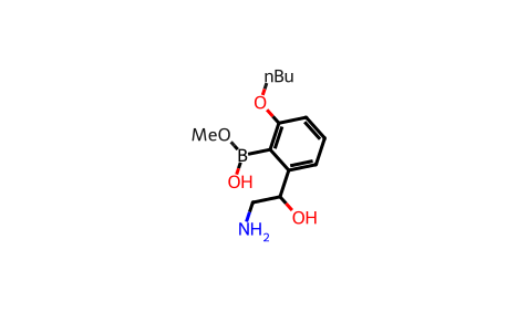 CCCCOc1cccc(C(O)CN)c1B(O)OC